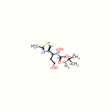 Cc1nc(C(CCO)N(O)C(=O)OC(C)(C)C)cs1